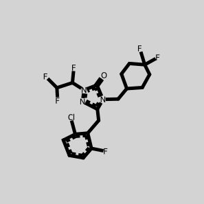 O=c1n(C(F)C(F)F)nc(Cc2c(F)cccc2Cl)n1CC1CCC(F)(F)CC1